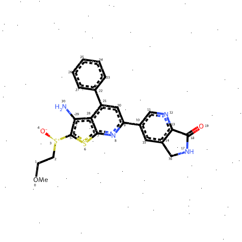 COCC[S@@+]([O-])c1sc2nc(-c3cnc4c(c3)CNC4=O)cc(-c3ccccc3)c2c1N